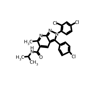 Cc1nc2nn(-c3ccc(Cl)cc3Cl)c(-c3ccc(Cl)cc3)c2cc1C(=O)NC(C)C